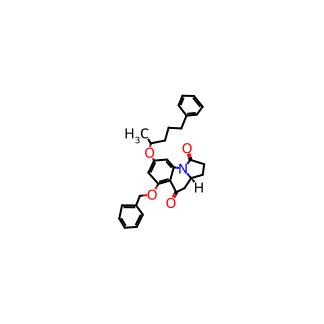 CC(CCCc1ccccc1)Oc1cc(OCc2ccccc2)c2c(c1)N1C(=O)CC[C@@H]1CC2=O